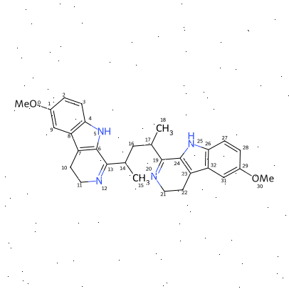 COc1ccc2[nH]c3c(c2c1)CCN=C3C(C)CC(C)C1=NCCc2c1[nH]c1ccc(OC)cc21